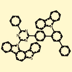 c1ccc(-c2ccc(-n3c4ccccc4c4ccccc43)c(-c3ccc(-c4nc(-c5ccccc5)nc(-n5c6ccccc6c6ccc7sc8ccccc8c7c65)n4)cc3)c2)cc1